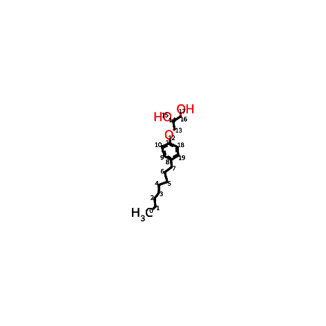 CCCCCCCCc1ccc(OCC(O)CO)cc1